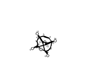 O=C1CC2C=CC(CC(=O)O1)C1C(=O)OC(=O)C21